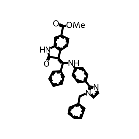 COC(=O)c1ccc2c(c1)NC(=O)C2=C(Nc1ccc(-c2nccn2Cc2ccccc2)cc1)c1ccccc1